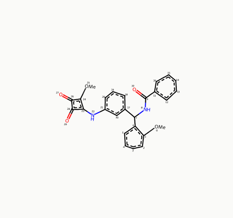 COc1ccccc1C(NC(=O)c1ccccc1)c1cccc(Nc2c(OC)c(=O)c2=O)c1